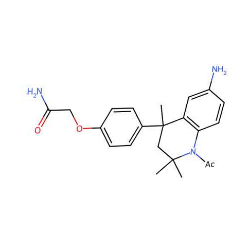 CC(=O)N1c2ccc(N)cc2C(C)(c2ccc(OCC(N)=O)cc2)CC1(C)C